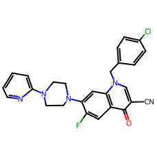 N#Cc1cn(Cc2ccc(Cl)cc2)c2cc(N3CCN(c4ccccn4)CC3)c(F)cc2c1=O